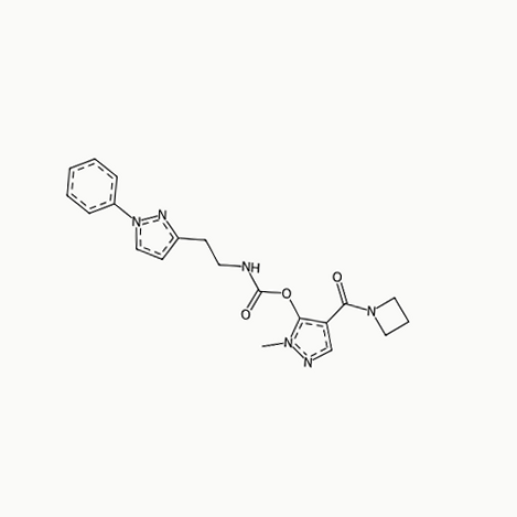 Cn1ncc(C(=O)N2CCC2)c1OC(=O)NCCc1ccn(-c2ccccc2)n1